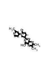 Cc1cc(N2CC(c3nc(O)c4nc(C)c(C)nc4n3)CCC2=O)ccn1